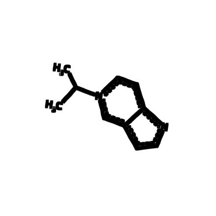 CC(C)n1ccc2nccc-2c1